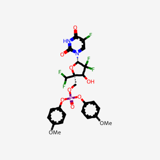 COc1ccc(OP(=O)(OC[C@]2(C(F)F)O[C@H](n3cc(F)c(=O)[nH]c3=O)C(F)(F)C2O)Oc2ccc(OC)cc2)cc1